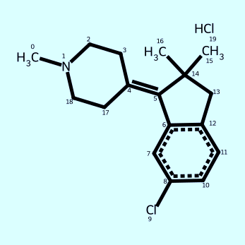 CN1CCC(=C2c3cc(Cl)ccc3CC2(C)C)CC1.Cl